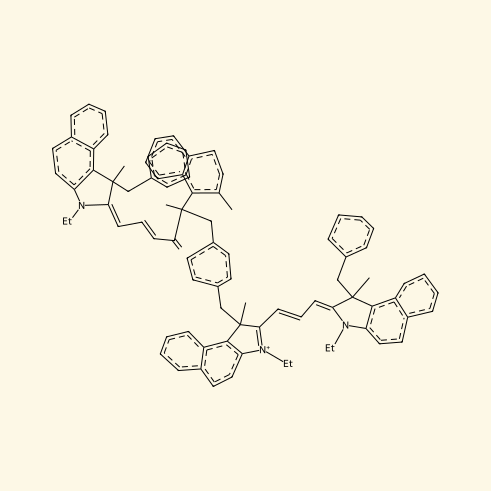 C=C(C=CC=C1N(CC)c2ccc3ccccc3c2C1(C)Cc1ccccc1)C(C)(Cc1ccc(CC2(C)C(C=CC=C3N(CC)c4ccc5ccccc5c4C3(C)Cc3ccccc3)=[N+](CC)c3ccc4ccccc4c32)cc1)c1c(C)ccc2ccccc12